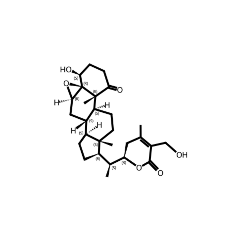 CC1=C(CO)C(=O)O[C@@H]([C@@H](C)[C@H]2CC[C@H]3[C@@H]4C[C@H]5O[C@]56[C@@H](O)CCC(=O)[C@]6(C)[C@H]4CC[C@]23C)C1